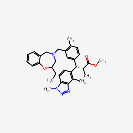 CCC1CN(Cc2cc([C@@H](c3ccc4c(nnn4C)c3C)C(C)C(=O)OC)ccc2C)Cc2ccccc2O1